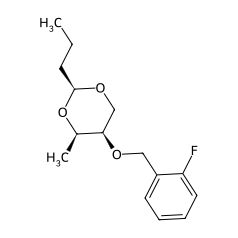 CCC[C@H]1OC[C@@H](OCc2ccccc2F)[C@@H](C)O1